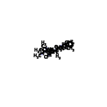 C=C\C=C(/C=C(/C=C/C)CC)NS(=O)(=O)C(/C=C/Cl)C/C=C(\C)C(=O)N/C=C/C=C(Cl)\C(=C/C)C1(C)C#CC=CC=N1